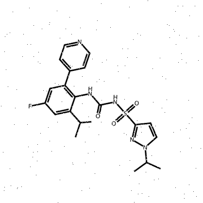 CC(C)c1cc(F)cc(-c2ccncc2)c1NC(=O)NS(=O)(=O)c1ccn(C(C)C)n1